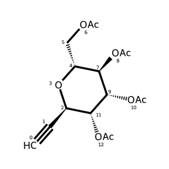 C#C[C@H]1O[C@H](COC(C)=O)[C@@H](OC(C)=O)[C@H](OC(C)=O)[C@@H]1OC(C)=O